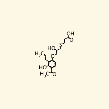 C=CCc1c(OCC(O)CSCCC(=O)O)ccc(C(C)=O)c1O